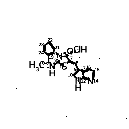 C[C@H](NC1=NC(=O)/C(=C/c2c[nH]c3ncccc23)S1)c1ccccc1.Cl